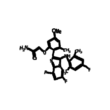 COc1cc(C)c(-c2nc3c(F)cc(F)cn3c2Nc2c(C)cc(F)cc2C)c(OCC(N)=O)c1